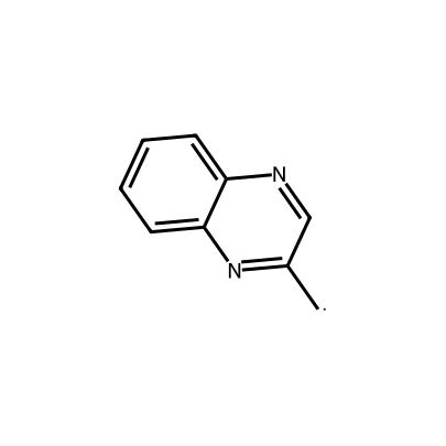 [CH2]c1cnc2ccccc2n1